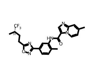 Cc1ccn2c(C(=O)Nc3cc(-c4noc(CC[C@H](C)C(F)(F)F)n4)ccc3C)cnc2c1